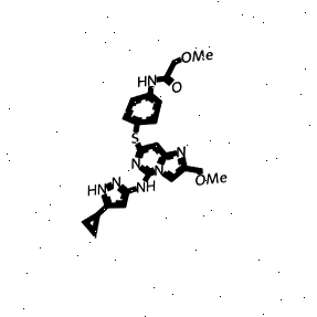 COCC(=O)Nc1ccc(Sc2cc3nc(COC)cn3c(Nc3cc(C4CC4)[nH]n3)n2)cc1